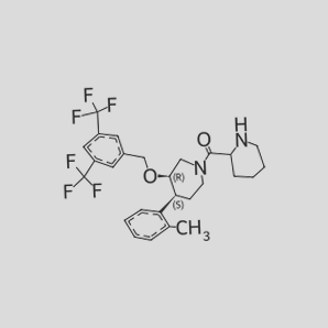 Cc1ccccc1[C@@H]1CCN(C(=O)C2CCCCN2)C[C@@H]1OCc1cc(C(F)(F)F)cc(C(F)(F)F)c1